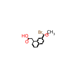 COC(Br)=c1ccc2c(c1)C(CC(=O)O)C=CC=2